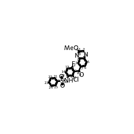 COc1cnc2ccc(C(=O)c3c(F)ccc(NS(=O)(=O)c4ccccc4)c3Cl)cc2n1